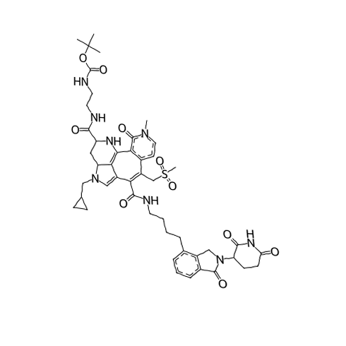 Cn1ccc2c(c1=O)C1=C3C(=CN(CC4CC4)C3CC(C(=O)NCCNC(=O)OC(C)(C)C)N1)C(C(=O)NCCCCc1cccc3c1CN(C1CCC(=O)NC1=O)C3=O)=C2CS(C)(=O)=O